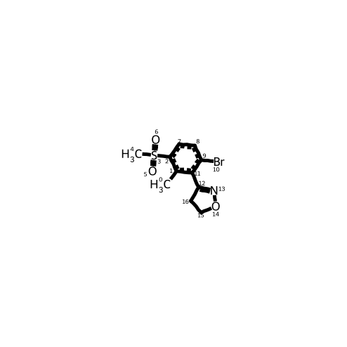 Cc1c(S(C)(=O)=O)ccc(Br)c1C1=NOCC1